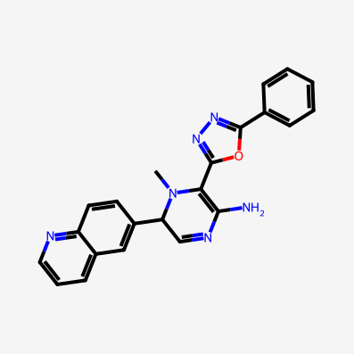 CN1C(c2nnc(-c3ccccc3)o2)=C(N)N=CC1c1ccc2ncccc2c1